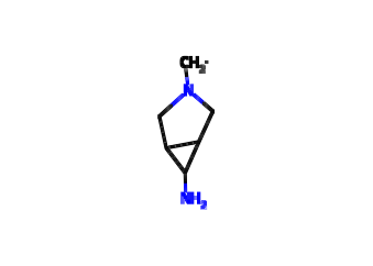 [CH2]N1CC2C(N)C2C1